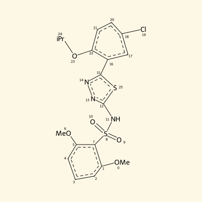 COc1cccc(OC)c1S(=O)(=O)Nc1nnc(-c2cc(Cl)ccc2OC(C)C)s1